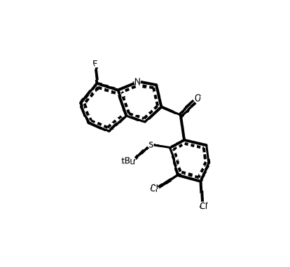 CC(C)(C)Sc1c(C(=O)c2cnc3c(F)cccc3c2)ccc(Cl)c1Cl